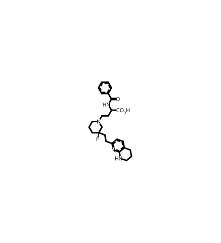 O=C(NC(CCN1CCC[C@@](F)(CCc2ccc3c(n2)NCCC3)C1)C(=O)O)c1ccccc1